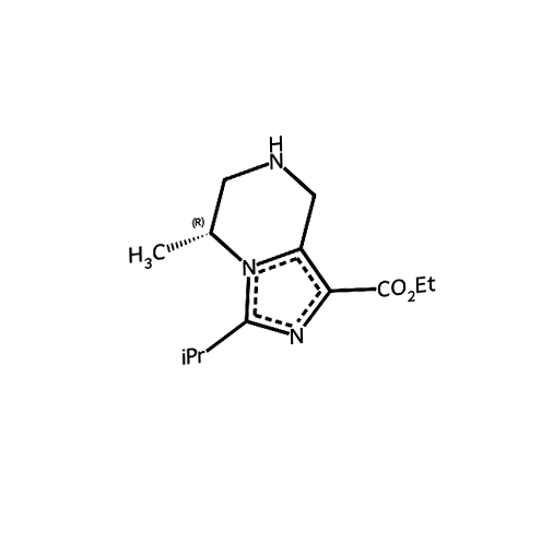 CCOC(=O)c1nc(C(C)C)n2c1CNC[C@H]2C